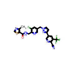 Cc1ncsc1C(=O)NCc1ncc(Cn2ccc(-c3cnc(C#N)c(C(F)(F)F)c3)n2)cc1F